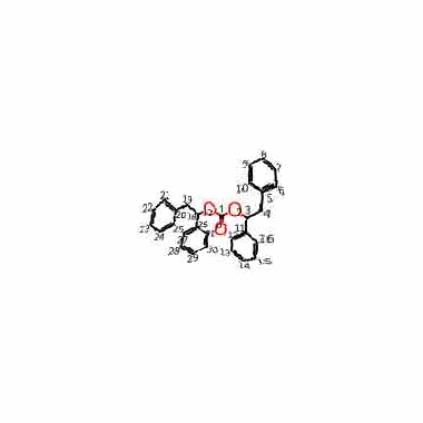 O=C(OC(Cc1ccccc1)c1ccccc1)OC(Cc1ccccc1)c1ccccc1